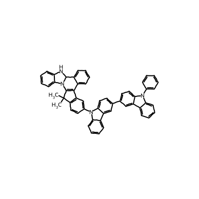 CC1(C)C2=C(c3ccccc3C3Nc4ccccc4N23)c2cc(-n3c4ccccc4c4cc(-c5ccc6c(c5)c5ccccc5n6-c5ccccc5)ccc43)ccc21